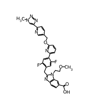 COCCn1c(Cc2cc(F)c(-c3cccc(OCc4ccc(-c5cn(C)nn5)nc4)n3)cc2F)nc2ccc(C(=O)O)cc21